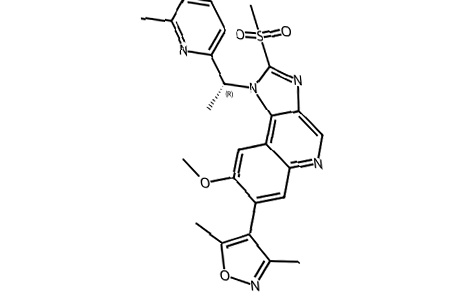 COc1cc2c(cc1-c1c(C)noc1C)ncc1nc(S(C)(=O)=O)n([C@H](C)c3cccc(C)n3)c12